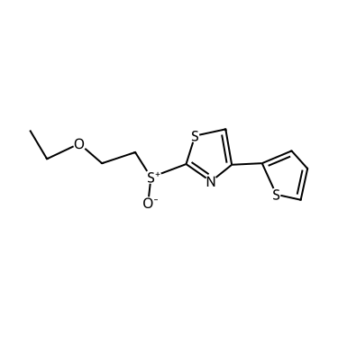 CCOCC[S+]([O-])c1nc(-c2cccs2)cs1